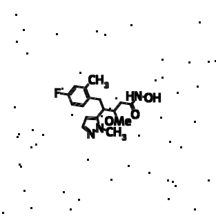 COC(CC(=O)NO)C(Cc1ccc(F)cc1C)c1ccnn1C